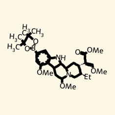 CC[C@@H]1CN2C(OC)CC3c4c(cc(B5OC(C)(C)C(C)(C)O5)cc4OC)NC3C2C[C@@H]1/C(=C\OC)C(=O)OC